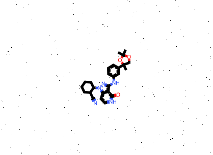 CC1(C)OCC(C)(c2cccc(Nc3nn(C4CCCCC4C#N)c4cc[nH]c(=O)c34)c2)O1